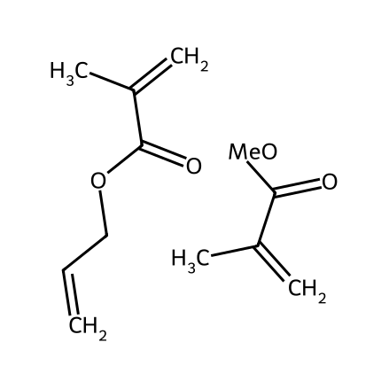 C=C(C)C(=O)OC.C=CCOC(=O)C(=C)C